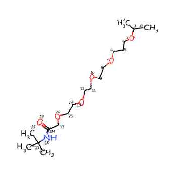 CC(C)OCCCOCCOCCOCCOCC(=O)NC(C)(C)C